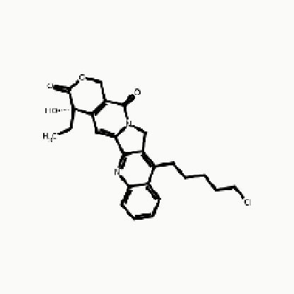 CC[C@@]1(O)C(=O)OCc2c1cc1n(c2=O)Cc2c-1nc1ccccc1c2CCCCCCl